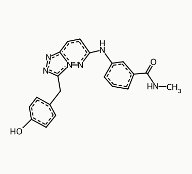 CNC(=O)c1cccc(Nc2ccc3nnc(Cc4ccc(O)cc4)n3n2)c1